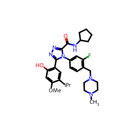 COc1cc(O)c(-c2nnc(C(=O)NC3CCCC3)n2-c2ccc(CN3CCN(C)CC3)c(F)c2)cc1C(C)C